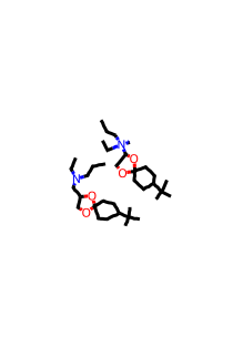 CCCN(CC)CC1COC2(CCC(C(C)(C)C)CC2)O1.CCC[N+](C)(CC)C1COC2(CCC(C(C)(C)C)CC2)O1